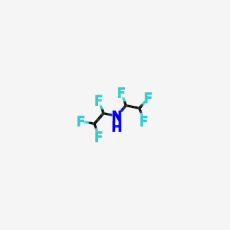 FC(F)C(F)NC(F)C(F)F